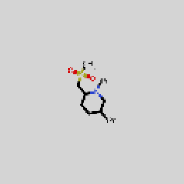 CC(C)C1CCC(CS(C)(=O)=O)N(C(C)C)C1